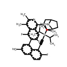 Cc1nc(N2CC3CCC(C2)N3)c2cc(Cl)c(-c3cc(O)cc4ccc(F)c(C#C[Si](C(C)C)(C(C)C)C(C)C)c34)c(F)c2c1C